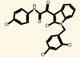 O=C(Nc1ccc(Cl)cc1)C(=O)c1c(Cl)n(Cc2ccc(Cl)cc2Cl)c2ccccc12